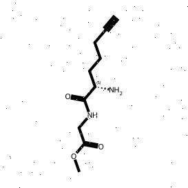 C#CCCC[C@H](N)C(=O)NCC(=O)OC